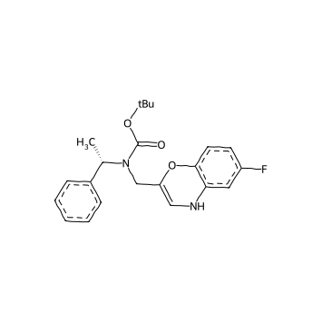 C[C@@H](c1ccccc1)N(CC1=CNc2cc(F)ccc2O1)C(=O)OC(C)(C)C